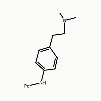 CN(C)CCc1ccc([NH][Pd])cc1